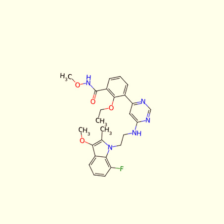 CCOc1c(C(=O)NOC)cccc1-c1cc(NCCn2c(C)c(OC)c3cccc(F)c32)ncn1